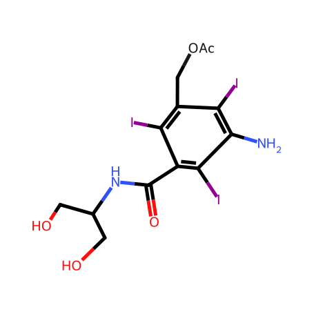 CC(=O)OCc1c(I)c(N)c(I)c(C(=O)NC(CO)CO)c1I